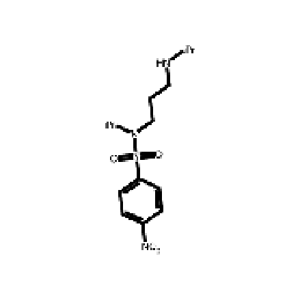 CC(C)NCCCN(C(C)C)S(=O)(=O)c1ccc([N+](=O)[O-])cc1